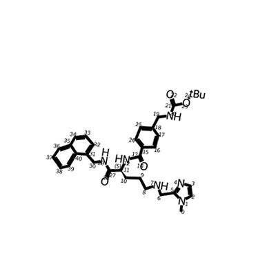 Cn1ccnc1CNCCC[C@H](NC(=O)c1ccc(CNC(=O)OC(C)(C)C)cc1)C(=O)NCc1cccc2ccccc12